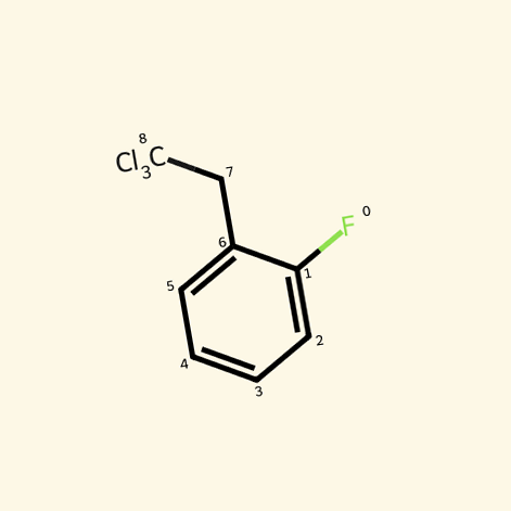 Fc1ccccc1CC(Cl)(Cl)Cl